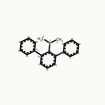 CB(C)c1c(-c2ccccc2)cccc1-c1ccccc1